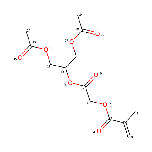 C=C(C)C(=O)OCC(=O)OC(COC(C)=O)COC(C)=O